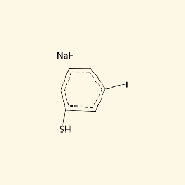 Sc1cccc(I)c1.[NaH]